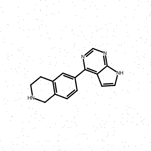 c1nc(-c2ccc3c(c2)CCNC3)c2cc[nH]c2n1